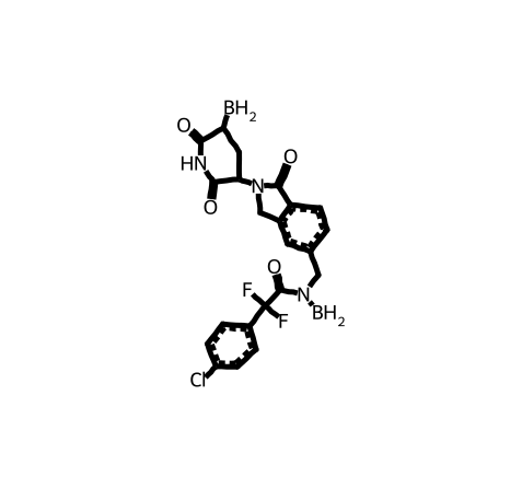 BC1CC(N2Cc3cc(CN(B)C(=O)C(F)(F)c4ccc(Cl)cc4)ccc3C2=O)C(=O)NC1=O